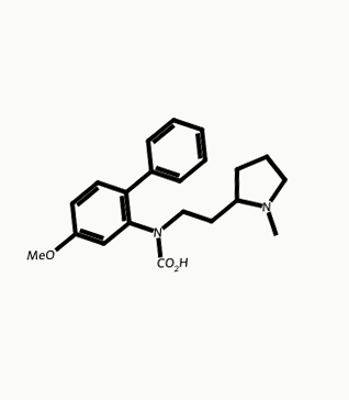 COc1ccc(-c2ccccc2)c(N(CCC2CCCN2C)C(=O)O)c1